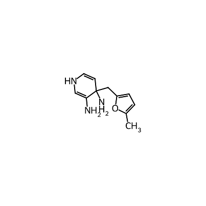 Cc1ccc(CC2(N)C=CNC=C2N)o1